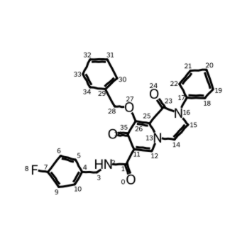 O=C(NCc1ccc(F)cc1)c1cn2ccn(-c3ccccc3)c(=O)c2c(OCc2ccccc2)c1=O